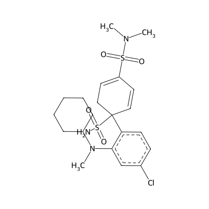 CN(c1cc(Cl)ccc1C1(S(N)(=O)=O)C=CC(S(=O)(=O)N(C)C)=CC1)C1CCCCC1